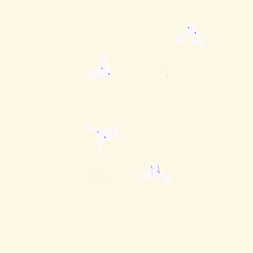 Cc1ccc(Cc2nccs2)nc1[C@H]1CCC[C@@H](c2ccccn2)N1